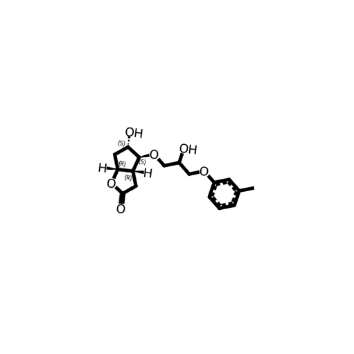 Cc1cccc(OCC(O)CO[C@H]2[C@@H]3CC(=O)O[C@@H]3C[C@@H]2O)c1